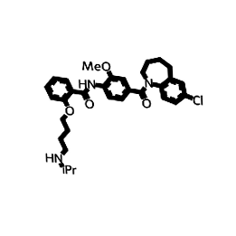 COc1cc(C(=O)N2CCCCc3cc(Cl)ccc32)ccc1NC(=O)c1ccccc1OCCCCNC(C)C